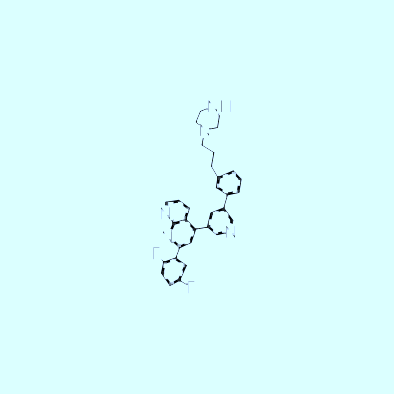 Fc1ccc(F)c(-c2cc(-c3cncc(-c4cccc(CCCN5CCNCC5)c4)c3)c3cccnc3n2)c1